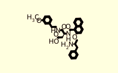 COc1cccc(CCNC(=O)[C@H](CC(=O)O)NC(=O)c2c(OC[C@H](N)Cc3ccccc3)ccc3ccccc23)c1